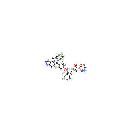 C[C@@H]1Cc2c(ccc3[nH]ncc23)[C@@H](c2c(F)cc(OCC3(NC/C=C/C(=O)C4CNCCO4)CCCCC3)cc2F)N1CC(F)(F)F